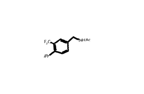 CC(=O)NCc1ccc(C(C)C)c(C(F)(F)F)c1